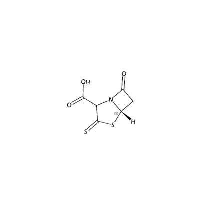 O=C(O)C1C(=S)S[C@H]2CC(=O)N12